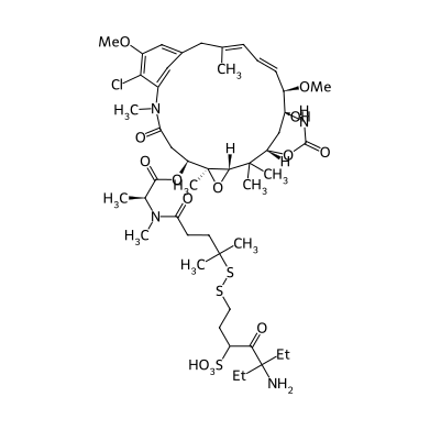 CCC(N)(CC)C(=O)C(CCSSC(C)(C)CCC(=O)N(C)[C@@H](C)C(=O)O[C@H]1CC(=O)N(C)c2cc(cc(OC)c2Cl)C/C(C)=C/C=C/[C@@H](OC)[C@@]2(O)C[C@H](OC(=O)N2)C(C)(C)[C@@H]2O[C@@]12C)S(=O)(=O)O